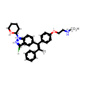 CCC(=C(c1ccc(OCCNC(=O)O)cc1)c1ccc2c(c1)c(F)nn2C1CCCCO1)c1ccccc1